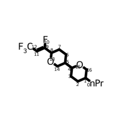 CCCC1CCC(C2CCC(/C(F)=C/C(F)(F)F)OC2)OC1